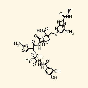 Cc1cc(SCC2=C(C(=O)O)N3C(=O)[C@@H](NC(=O)C(=NOC(C)(C)C(=O)NNC(=O)c4ccc(O)c(O)c4)c4csc(N)n4)[C@H]3SC2)nc2nc(C(=O)NC3CC3)nn12